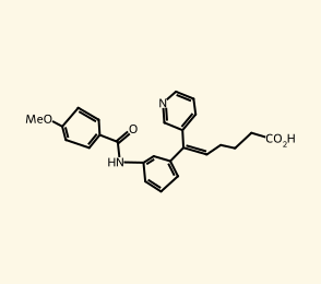 COc1ccc(C(=O)Nc2cccc(/C(=C/CCCC(=O)O)c3cccnc3)c2)cc1